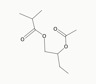 CCC(COC(=O)C(C)C)OC(C)=O